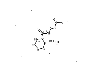 CN(C)CCNC(=O)[C@@H]1CCCCN1.Cl.Cl